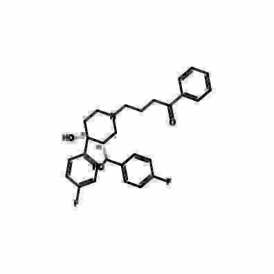 O=C(CCCN1CC[C@](O)(c2ccc(F)cc2)[C@@H](C(O)c2ccc(F)cc2)C1)c1ccccc1